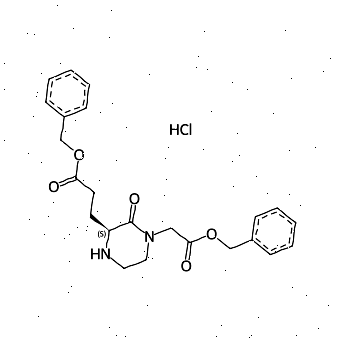 Cl.O=C(CC[C@@H]1NCCN(CC(=O)OCc2ccccc2)C1=O)OCc1ccccc1